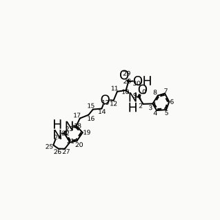 O=C(Cc1ccccc1)NC(CCOCCCCc1ccc2c(n1)NCCC2)C(=O)O